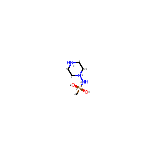 CS(=O)(=O)NN1CCNCC1